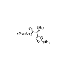 CCCCCOC(=O)C(=CC(C)(C)C)c1csc(N)n1